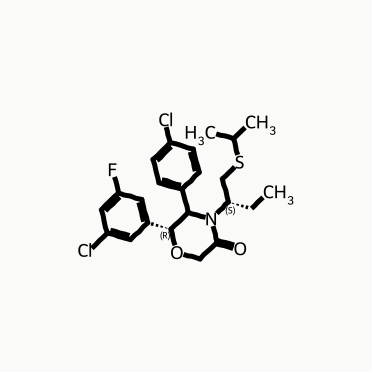 CC[C@@H](CSC(C)C)N1C(=O)CO[C@H](c2cc(F)cc(Cl)c2)C1c1ccc(Cl)cc1